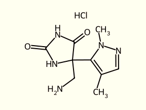 Cc1cnn(C)c1C1(CN)NC(=O)NC1=O.Cl